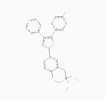 CSC1(SC)COc2ccc(-c3cc(-c4ccncc4)c(-c4ccc(F)cc4)[nH]3)cc2C1